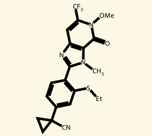 CCSc1cc(C2(C#N)CC2)ccc1-c1nc2cc(C(F)(F)F)n(OC)c(=O)c2n1C